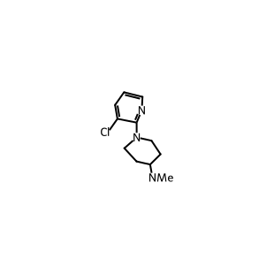 CNC1CCN(c2ncccc2Cl)CC1